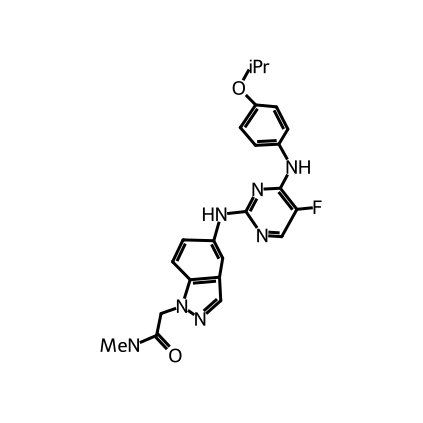 CNC(=O)Cn1ncc2cc(Nc3ncc(F)c(Nc4ccc(OC(C)C)cc4)n3)ccc21